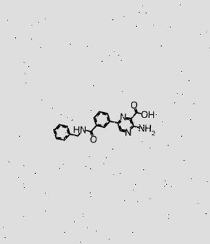 Nc1ncc(-c2cccc(C(=O)NCc3ccccc3)c2)nc1C(=O)O